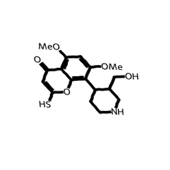 COc1cc(OC)c2c(=O)cc(S)oc2c1C1CCNCC1CO